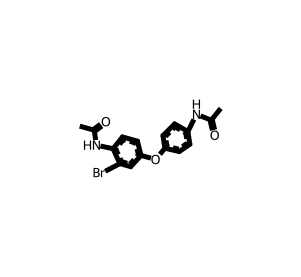 CC(=O)Nc1ccc(Oc2ccc(NC(C)=O)c(Br)c2)cc1